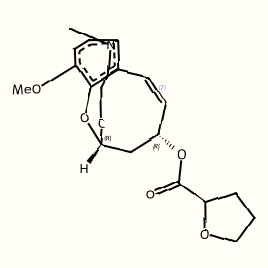 COc1ccc2c3c1O[C@H](CCCN2C)C[C@@H](OC(=O)C1CCCO1)/C=C\3